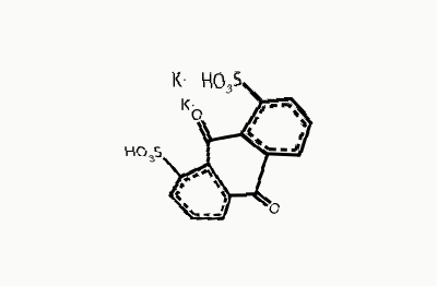 O=C1c2cccc(S(=O)(=O)O)c2C(=O)c2c1cccc2S(=O)(=O)O.[K].[K]